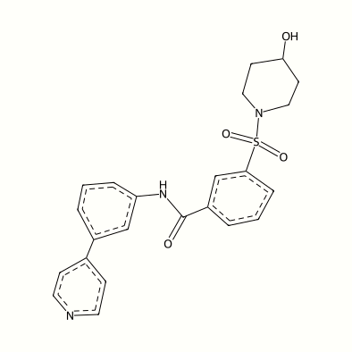 O=C(Nc1cccc(-c2ccncc2)c1)c1cccc(S(=O)(=O)N2CCC(O)CC2)c1